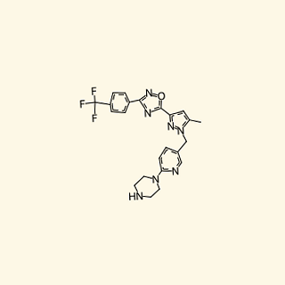 Cc1cc(-c2nc(-c3ccc(C(F)(F)F)cc3)no2)nn1Cc1ccc(N2CCNCC2)nc1